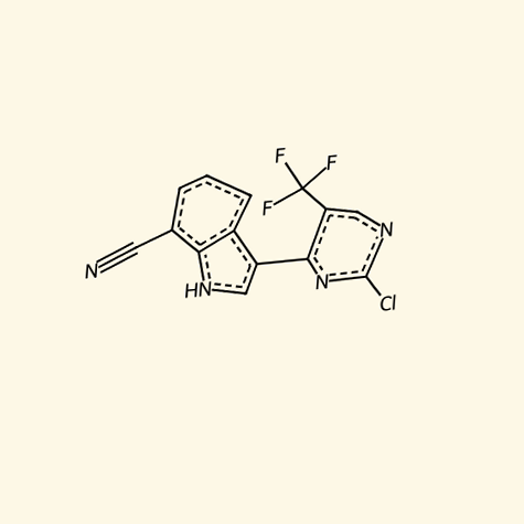 N#Cc1cccc2c(-c3nc(Cl)ncc3C(F)(F)F)c[nH]c12